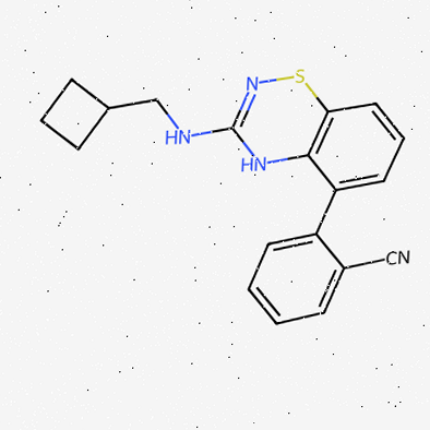 N#Cc1ccccc1-c1cccc2c1NC(NCC1CCC1)=NS2